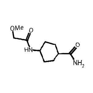 COCC(=O)NC1CCC(C(N)=O)CC1